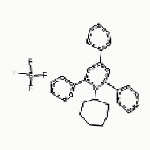 F[B-](F)(F)F.c1ccc(-c2cc(-c3ccccc3)[n+](C3CCCCCC3)c(-c3ccccc3)c2)cc1